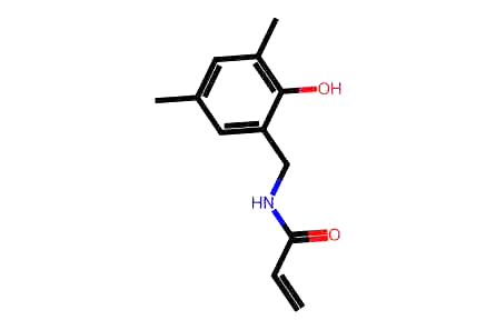 C=CC(=O)NCc1cc(C)cc(C)c1O